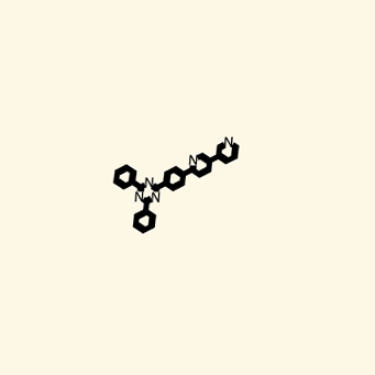 c1ccc(-c2nc(-c3ccccc3)nc(-c3ccc(-c4ccc(-c5cccnc5)cn4)cc3)n2)cc1